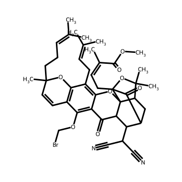 COC(=O)/C(C)=C\CC12OC(C)(C)C3CC(C1=O)C(C(C#N)C#N)C1C(=O)c4c(OCBr)c5c(c(CC=C(C)C)c4OC132)OC(C)(CCC=C(C)C)C=C5